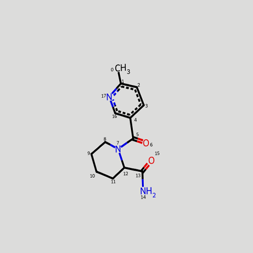 Cc1ccc(C(=O)N2CCCCC2C(N)=O)cn1